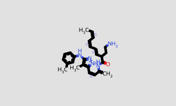 C=C(/C=C\c1[nH]nc(Nc2cccc(C)c2)c1C)NC(=O)C(/C=C/C=C\C=C/C)CCN